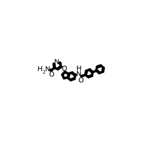 NC(=O)c1cncc(O[C@@H]2CCc3ccc(NC(=O)c4ccc(-c5ccccc5)cc4)cc32)c1